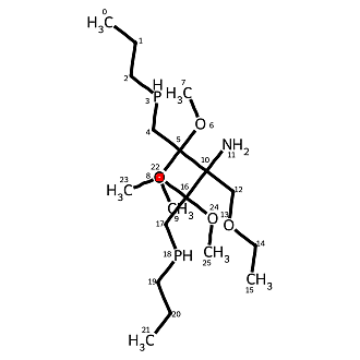 CCCPCC(OC)(OC)C(N)(COCC)C(CPCCC)(OC)OC